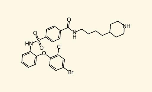 O=C(NCCCCC1CCNCC1)c1ccc(S(=O)(=O)Nc2ccccc2Oc2ccc(Br)cc2Cl)cc1